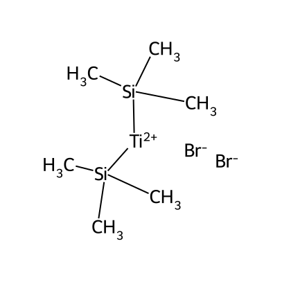 C[Si](C)(C)[Ti+2][Si](C)(C)C.[Br-].[Br-]